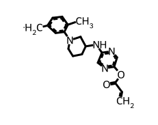 [CH2]c1ccc(C)c(N2CCCC(Nc3cnc(OC(=O)C=C)cn3)C2)c1